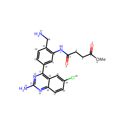 COC(=O)CCC(=O)Nc1cc(-c2nc(N)nc3ccc(Cl)cc23)ccc1CN